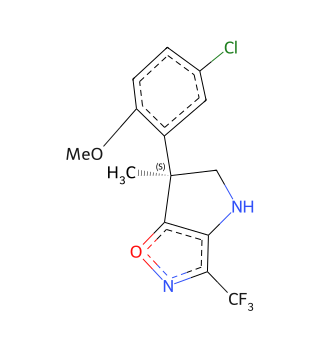 COc1ccc(Cl)cc1[C@@]1(C)CNc2c(C(F)(F)F)noc21